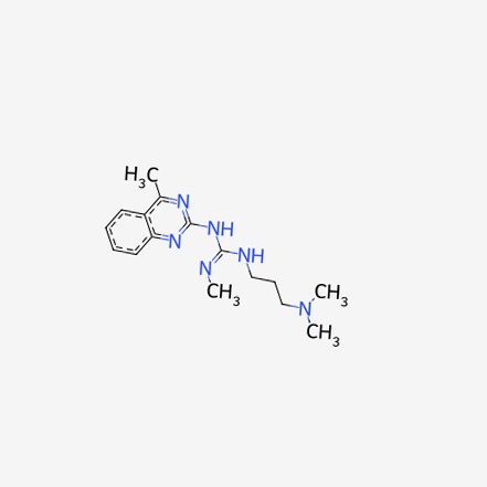 CN=C(NCCCN(C)C)Nc1nc(C)c2ccccc2n1